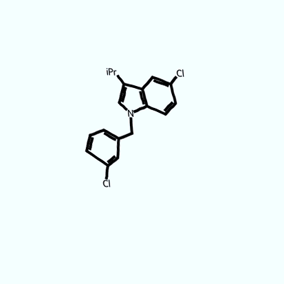 CC(C)c1cn(Cc2cccc(Cl)c2)c2ccc(Cl)cc12